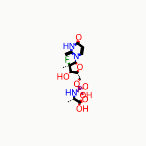 C=C1NC(=O)C=CN1[C@@H]1O[C@H](COP(=O)(O)N[C@@H](C)C(=O)O)[C@@H](O)[C@@]1(C)F